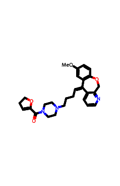 COc1ccc2c(c1)/C(=C/CCCN1CCN(C(=O)C3=CCCO3)CC1)c1cccnc1CO2